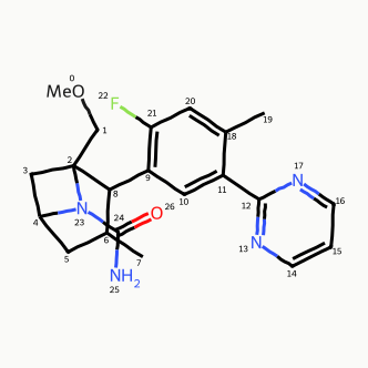 COCC12CC(CC(C)C1c1cc(-c3ncccn3)c(C)cc1F)N2C(N)=O